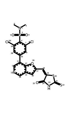 CN(C)S(=O)(=O)c1c(Cl)cc(-c2cncc3cc(C=C4SC(=S)NC4=O)oc23)cc1Cl